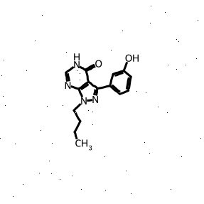 CCCCn1nc(-c2cccc(O)c2)c2c(=O)[nH]cnc21